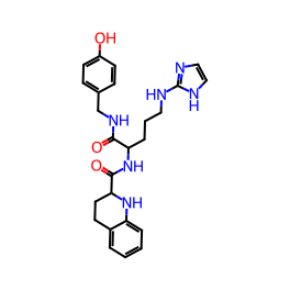 O=C(NCc1ccc(O)cc1)C(CCCNc1ncc[nH]1)NC(=O)C1CCc2ccccc2N1